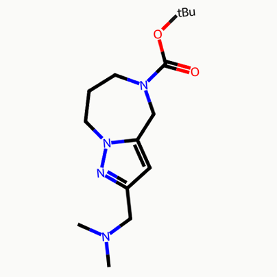 CN(C)Cc1cc2n(n1)CCCN(C(=O)OC(C)(C)C)C2